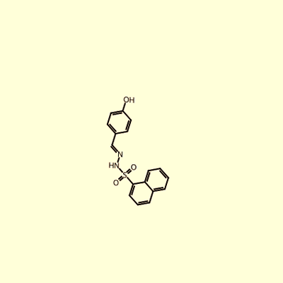 O=S(=O)(NN=Cc1ccc(O)cc1)c1cccc2ccccc12